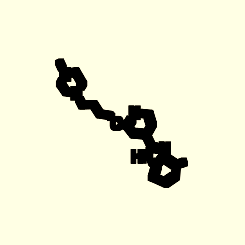 Cc1cccc2[nH]c(-c3ccnc(OCCCCN4CCN(C)CC4)c3)nc12